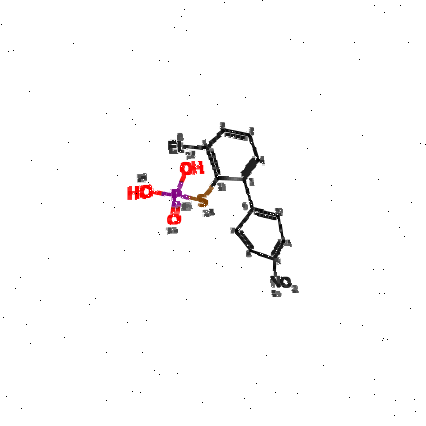 CCc1cccc(-c2ccc([N+](=O)[O-])cc2)c1SP(=O)(O)O